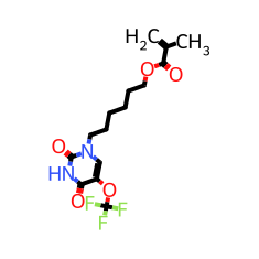 C=C(C)C(=O)OCCCCCCn1cc(OC(F)(F)F)c(=O)[nH]c1=O